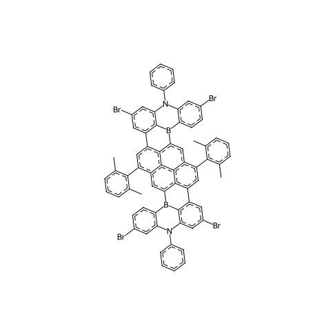 Cc1cccc(C)c1-c1cc2c3c(cc4c(-c5c(C)cccc5C)cc5c6c(cc1c3c46)B1c3ccc(Br)cc3N(c3ccccc3)c3cc(Br)cc-5c31)B1c3ccc(Br)cc3N(c3ccccc3)c3cc(Br)cc-2c31